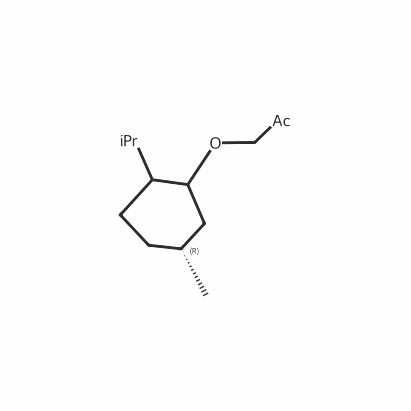 CC(=O)COC1C[C@H](C)CCC1C(C)C